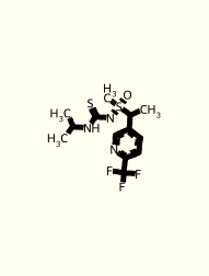 CC(C)NC(=S)N=S(C)(=O)C(C)c1ccc(C(F)(F)F)nc1